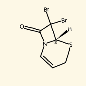 O=C1N2C=CCS[C@H]2C1(Br)Br